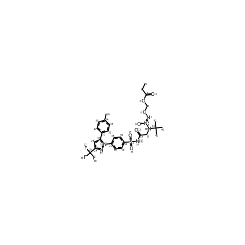 CCC(=O)OCON=[N+]([O-])N(CC(=O)NS(=O)(=O)c1ccc(-n2nc(C(F)(F)F)cc2-c2ccc(C)cc2)cc1)C(C)(C)C